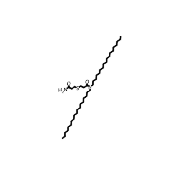 CCCCCCCCCCCCCCCCCCN(CCCCCCCCCCCCCCCCCC)C(=O)CCSCCC(N)=O